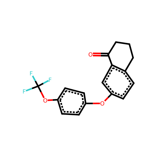 O=C1CCCc2ccc(Oc3ccc(OC(F)(F)F)cc3)cc21